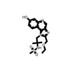 CCOCc1nc2cnc3cc(O)ccc3c2n1CC(C)(C)NS(C)(=O)=O